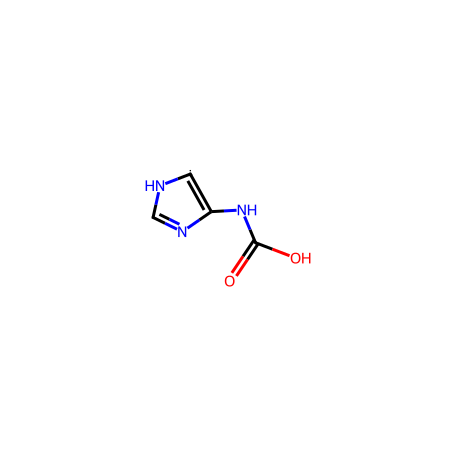 O=C(O)Nc1[c][nH]cn1